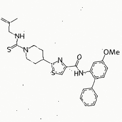 C=C(C)CNC(=S)N1CCC(c2nc(C(=O)Nc3cc(OC)ccc3-c3ccccc3)cs2)CC1